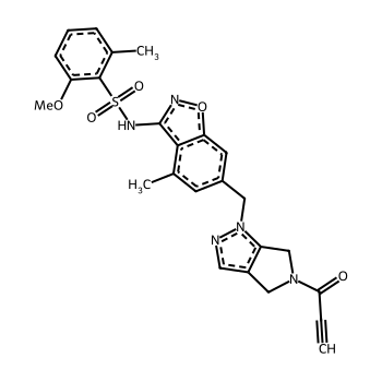 C#CC(=O)N1Cc2cnn(Cc3cc(C)c4c(NS(=O)(=O)c5c(C)cccc5OC)noc4c3)c2C1